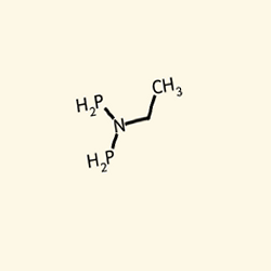 CCN(P)P